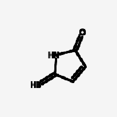 B=C1C=CC(=O)N1